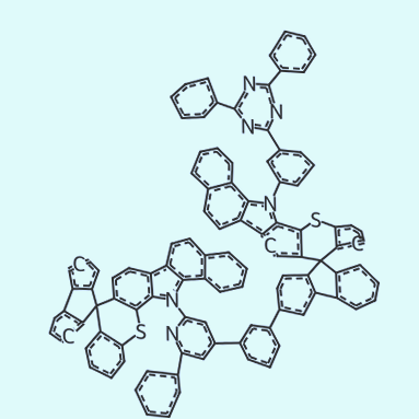 c1ccc(-c2cc(-c3cccc(-c4ccc5c(c4)-c4ccccc4C54c5ccccc5Sc5c4ccc4c6ccc7ccccc7c6n(-c6cccc(-c7nc(-c8ccccc8)nc(-c8ccccc8)n7)c6)c54)c3)cc(-n3c4c5c(ccc4c4ccc6ccccc6c43)C3(c4ccccc4S5)c4ccccc4-c4ccccc43)n2)cc1